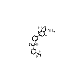 Cc1cc(-c2cccc(NC(=O)c3cccc(C(F)(F)F)c3)c2)nc2[nH]nc(N)c12